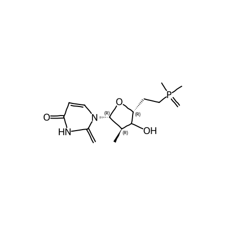 C=C1NC(=O)C=CN1[C@@H]1O[C@H](CCP(=C)(C)C)C(O)[C@H]1C